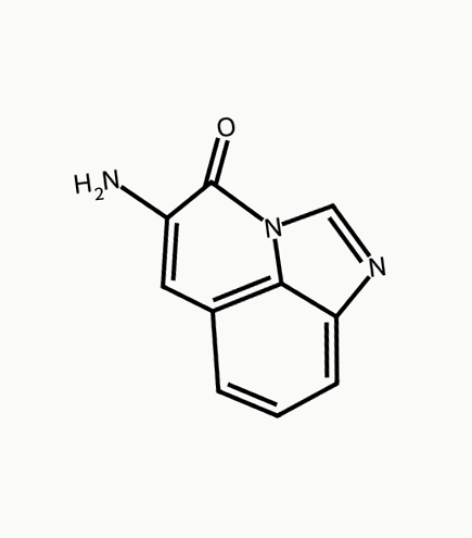 Nc1cc2cccc3ncn(c1=O)c23